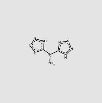 NN(c1nnn[nH]1)c1nnn[nH]1